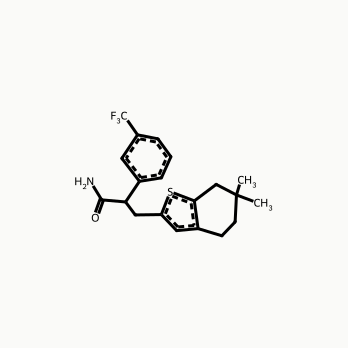 CC1(C)CCc2cc(CC(C(N)=O)c3cccc(C(F)(F)F)c3)sc2C1